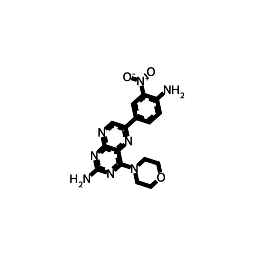 Nc1nc(N2CCOCC2)c2nc(-c3ccc(N)c([N+](=O)[O-])c3)cnc2n1